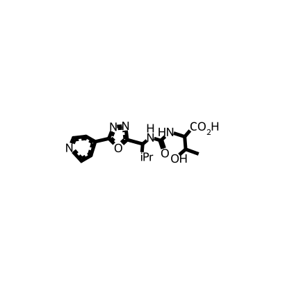 CC(C)C(NC(=O)NC(C(=O)O)C(C)O)c1nnc(-c2ccncc2)o1